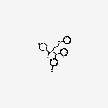 O=C(C1CCNCC1)N(CCOc1ccccc1)C(c1ccc(Cl)cc1)c1ccccn1